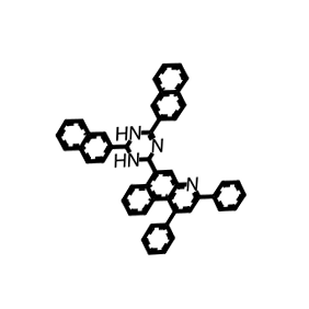 c1ccc(-c2cc(-c3ccccc3)c3c(cc(C4N=C(c5ccc6ccccc6c5)NC(c5ccc6ccccc6c5)N4)c4ccccc43)n2)cc1